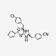 N#Cc1ccc(/C=N/N/C(=N/C(=O)c2ccccc2)N/N=C/c2ccc(Cl)cc2)cc1